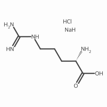 Cl.N=C(N)NCCC[C@H](N)C(=O)O.[NaH]